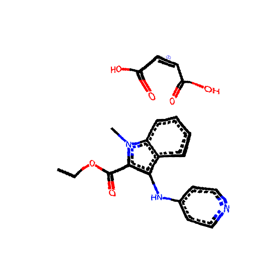 CCOC(=O)c1c(Nc2ccncc2)c2ccccc2n1C.O=C(O)/C=C\C(=O)O